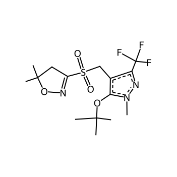 Cn1nc(C(F)(F)F)c(CS(=O)(=O)C2=NOC(C)(C)C2)c1OC(C)(C)C